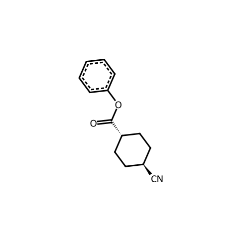 N#C[C@H]1CC[C@H](C(=O)Oc2ccccc2)CC1